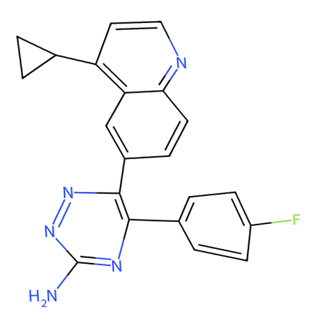 Nc1nnc(-c2ccc3nccc(C4CC4)c3c2)c(-c2ccc(F)cc2)n1